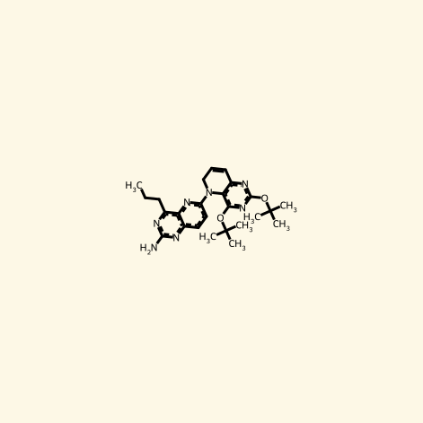 CCCc1nc(N)nc2ccc(N3CC=Cc4nc(OC(C)(C)C)nc(OC(C)(C)C)c43)nc12